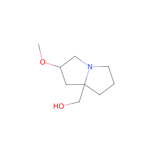 COC1CN2CCCC2(CO)C1